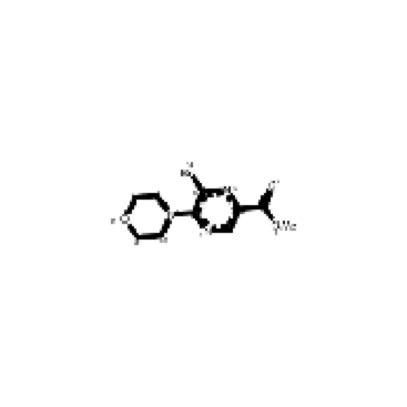 COC(=O)c1cnc(N2CCOCC2)c(Br)n1